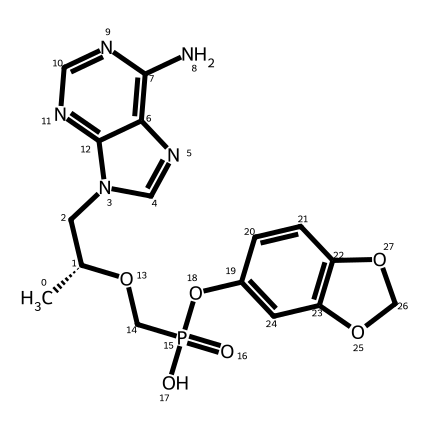 C[C@H](Cn1cnc2c(N)ncnc21)OCP(=O)(O)Oc1ccc2c(c1)OCO2